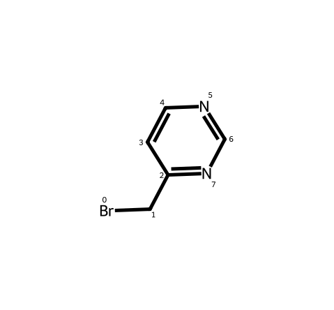 BrCc1ccncn1